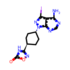 Nc1ncnc2c1c(I)nn2[C@H]1CC[C@H](c2noc(=O)[nH]2)CC1